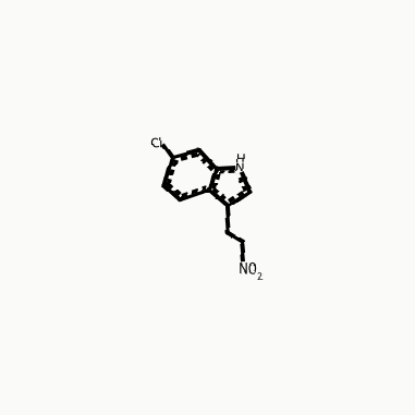 O=[N+]([O-])CCc1c[nH]c2cc(Cl)ccc12